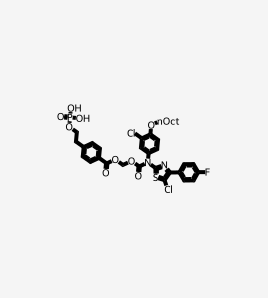 CCCCCCCCOc1ccc(N(C(=O)OCOC(=O)c2ccc(CCOP(=O)(O)O)cc2)c2nc(-c3ccc(F)cc3)c(Cl)s2)cc1Cl